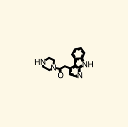 O=C(Cc1ccnc2[nH]c3ccccc3c12)N1CCNCC1